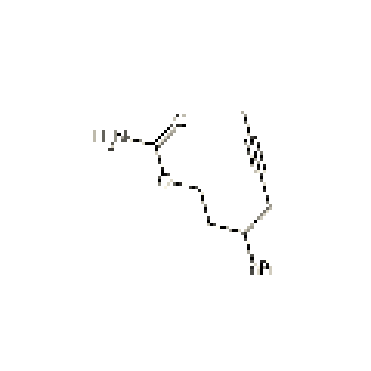 CCCC(CC#CI)CCOC(N)=O